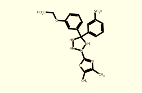 Cc1nc(N2NNC(c3cccc(OCC(=O)O)c3)(c3cccc(S(=O)(=O)O)c3)N2)sc1C